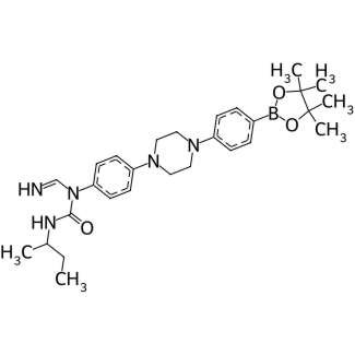 CCC(C)NC(=O)N(C=N)c1ccc(N2CCN(c3ccc(B4OC(C)(C)C(C)(C)O4)cc3)CC2)cc1